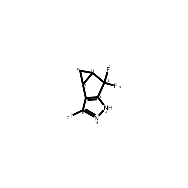 FC1(F)c2[nH]nc(I)c2C2CC21